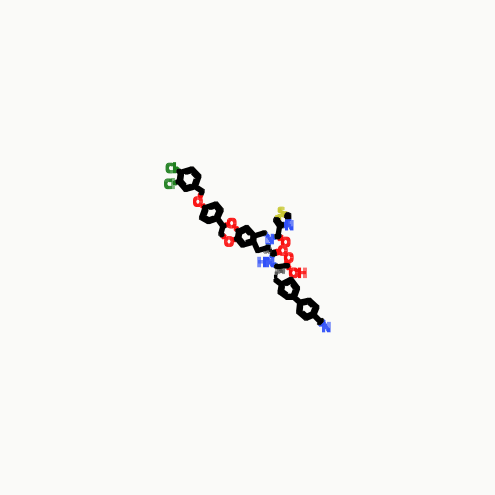 N#Cc1ccc(-c2ccc(C[C@H](NC(=O)[C@@H]3Cc4cc5c(cc4CN3C(=O)c3cscn3)OC(c3ccc(OCc4ccc(Cl)c(Cl)c4)cc3)CO5)C(=O)O)cc2)cc1